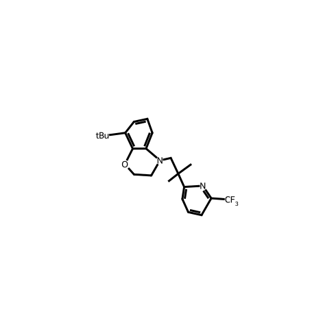 CC(C)(C)c1cccc2c1OCCN2CC(C)(C)c1cccc(C(F)(F)F)n1